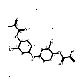 C=C(C)C(=O)OC1CCC(OC2CCC(OC(=O)C(=C)C)C(CC)C2)CC1CC